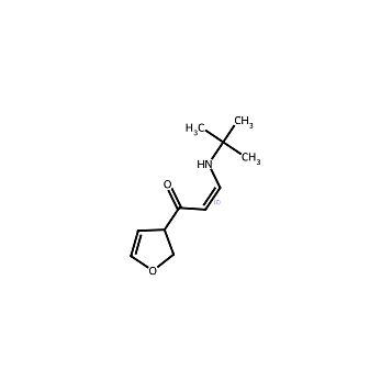 CC(C)(C)N/C=C\C(=O)C1C=COC1